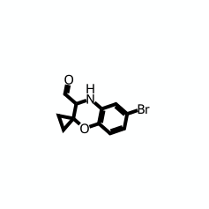 O=CC1Nc2cc(Br)ccc2OC12CC2